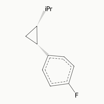 CC(C)[C@H]1C[C@H]1c1ccc(F)cc1